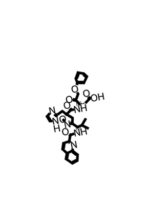 CC(C)[C@H](NC(=O)c1ccc2ccccc2n1)C1=NOC(Cc2ncc[nH]2)(C(=O)N[C@@H](CC(=O)O)C(=O)COc2ccccc2)C1